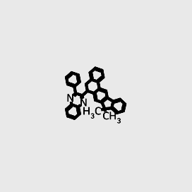 CC1(C)c2ccccc2-c2cc3c(cc21)C(c1nc2ccccc2nc1-c1ccccc1)Cc1ccccc1-3